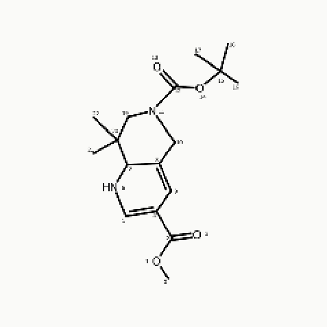 COC(=O)C1=CNC2C(=C1)CN(C(=O)OC(C)(C)C)CC2(C)C